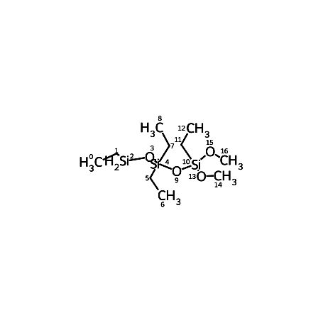 CC[SiH2]O[Si](CC)(CC)O[Si](CC)(OC)OC